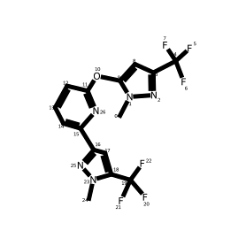 Cn1nc(C(F)(F)F)cc1Oc1cccc(-c2cc(C(F)(F)F)n(C)n2)n1